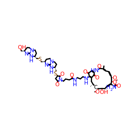 CO[C@H]1/C=C\C=C(/C)C(=O)NC2=CC(=O)C(NCCCNC(=O)CCCN3C(=O)CC(SC[C@H]4CCN5CC[C@H](CSC[C@H]6CCN7CC[C@H](CO)N=C7N6)N=C5N4)C3=O)=C(C[C@@H](C)C[C@H](OC)[C@H](O)[C@@H](C)/C=C(\C)[C@@H]1OC(N)=O)C2=O